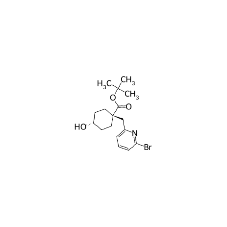 CC(C)(C)OC(=O)[C@]1(Cc2cccc(Br)n2)CC[C@H](O)CC1